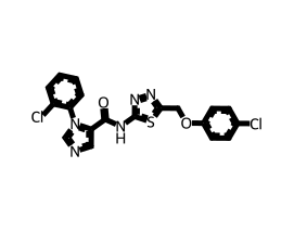 O=C(Nc1nnc(COc2ccc(Cl)cc2)s1)c1cncn1-c1ccccc1Cl